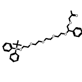 CC(=O)COCC(OCCOCCOCCOCCO[Si](c1ccccc1)(c1ccccc1)C(C)(C)C)c1ccccc1